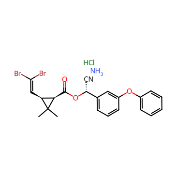 CC1(C)[C@H](C(=O)O[C@H](C#N)c2cccc(Oc3ccccc3)c2)[C@@H]1C=C(Br)Br.Cl.N